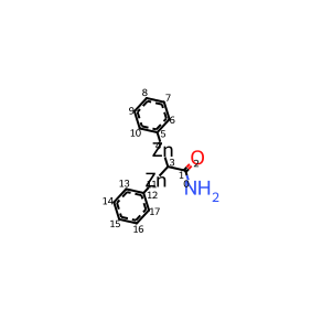 NC(=O)[CH]([Zn][c]1ccccc1)[Zn][c]1ccccc1